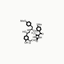 COc1ccc(C[C@@H](C)NC[C@H](O)c2ccc(O)c(NC=O)c2)cc1.CSc1ccc(C(=O)c2[nH]c(=O)[nH]c2C)cc1